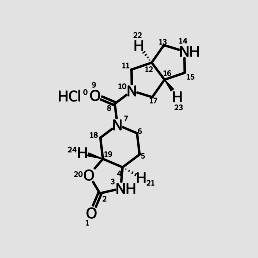 Cl.O=C1N[C@@H]2CCN(C(=O)N3C[C@H]4CNC[C@@H]4C3)C[C@H]2O1